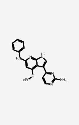 CCCOc1cc(Nc2ccccc2)nc2[nH]cc(-c3ccnc(N)n3)c12